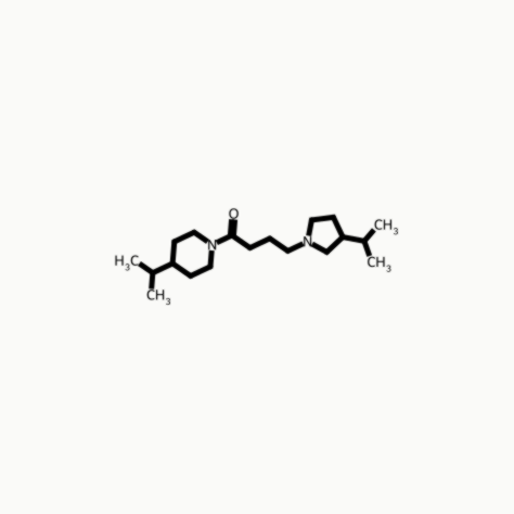 CC(C)C1CCN(C(=O)CCCN2CCC(C(C)C)C2)CC1